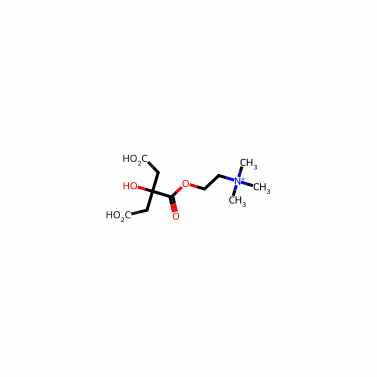 C[N+](C)(C)CCOC(=O)C(O)(CC(=O)O)CC(=O)O